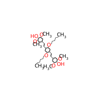 CCCCCCOc1cc(C=Cc2cc(OC)c(O)c(OC)c2)c(OCCCCCC)cc1C=Cc1cc(OC)c(O)c(OC)c1